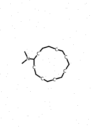 CN(C)C1CCCCCCCCCCCCCC1